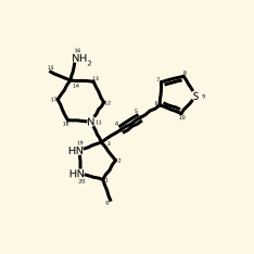 CC1CC(C#Cc2ccsc2)(N2CCC(C)(N)CC2)NN1